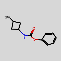 CC(C)(C)C1CC(NC(=O)Oc2ccccc2)C1